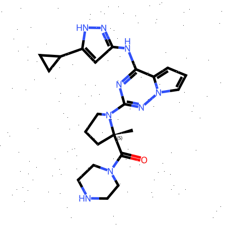 C[C@@]1(C(=O)N2CCNCC2)CCCN1c1nc(Nc2cc(C3CC3)[nH]n2)c2cccn2n1